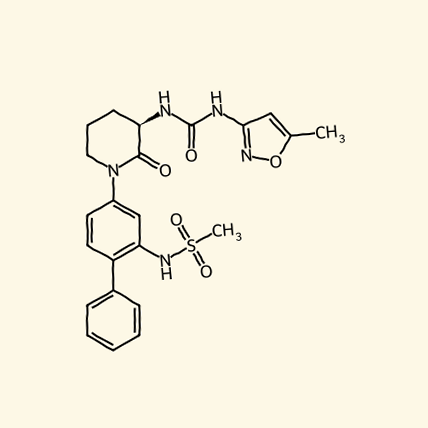 Cc1cc(NC(=O)N[C@@H]2CCCN(c3ccc(-c4ccccc4)c(NS(C)(=O)=O)c3)C2=O)no1